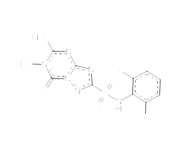 Cc1nc2nc(S(=O)(=O)Nc3c(F)cccc3F)nn2c(=S)n1C